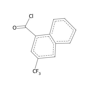 O=C(Cl)c1cc(C(F)(F)F)cc2ccccc12